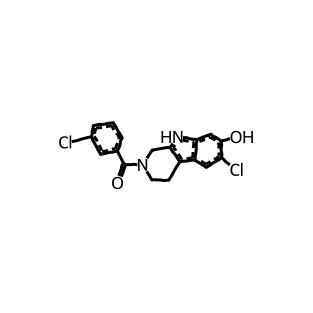 O=C(c1cccc(Cl)c1)N1CCc2c([nH]c3cc(O)c(Cl)cc23)C1